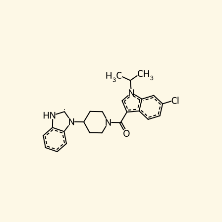 CC(C)n1cc(C(=O)N2CCC(N3[CH]Nc4ccccc43)CC2)c2ccc(Cl)cc21